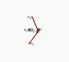 CCCCCCCCCCCCCCCCCC(=O)OC(CCCl)OC(=O)CCCCCCCCCCCCCCCCC.CN(C)C